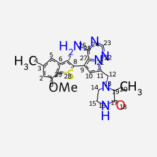 COc1cc(C)cc2cc(-c3cc(CN4CCNC(=O)C4C)n4ncnc(N)c34)sc12